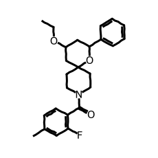 CCOC1CC(c2ccccc2)OC2(CCN(C(=O)c3ccc(C)cc3F)CC2)C1